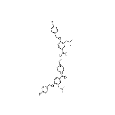 CC(C)Cc1cc(C(=O)OCCN2CCN(C(=O)c3ccc(OCc4ccc(F)cc4)c(CC(C)C)c3)CC2)ccc1OCc1ccc(F)cc1